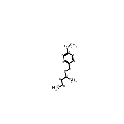 COc1ccc(CSC(N)CCN)cc1